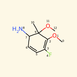 COC1=C(F)C=CC(N)C1(C)OC